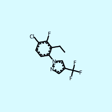 CCc1c(-n2cc(C(F)(F)F)cn2)ccc(Cl)c1F